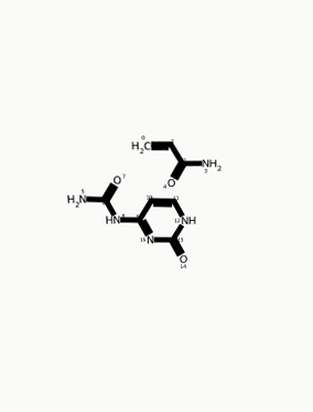 C=CC(N)=O.NC(=O)Nc1cc[nH]c(=O)n1